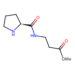 COC(=O)CCNC(=O)[C@@H]1CCCN1